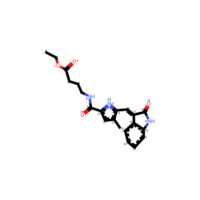 CCOC(=O)CCCNC(=O)c1cc(C)c(C=C2C(=O)Nc3ccccc32)[nH]1